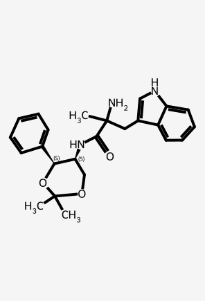 CC1(C)OC[C@H](NC(=O)C(C)(N)Cc2c[nH]c3ccccc23)[C@H](c2ccccc2)O1